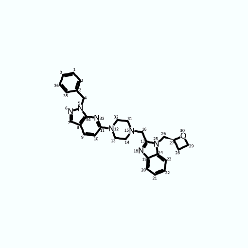 c1ccc(Cn2ncc3ccc(N4CCN(Cc5nc6ccccc6n5C[C@@H]5CCO5)CC4)nc32)cc1